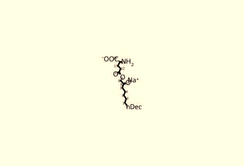 CCCCCCCCCCCCCCCC(=O)COC(=O)CC[C@H](N)C(=O)[O-].[Na+]